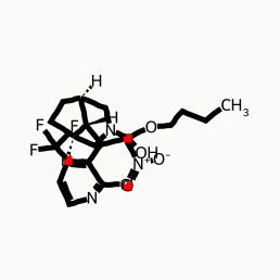 CCCCOC(O)N1C[C@H]2CC[C@@H](C1)[C@@H]2C(C[N+](=O)[O-])c1c(C(F)(F)F)ccnc1Cl